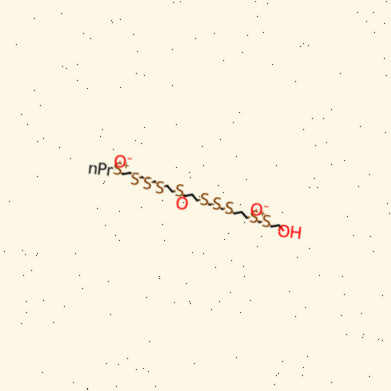 CCC[S+]([O-])CCSCSCSCCSC(=O)CCSCSCSCCC[S+]([O-])CSCCO